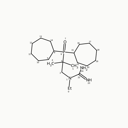 CCN(CC(C)(C)P(=O)(C1CCCCCC1)C1CCCCCC1)C(=N)N